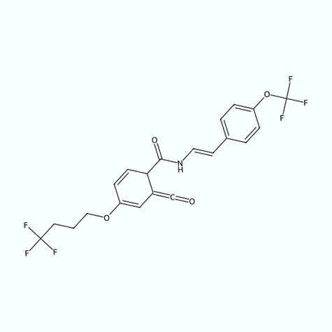 O=C=C1C=C(OCCCC(F)(F)F)C=CC1C(=O)NC=Cc1ccc(OC(F)(F)F)cc1